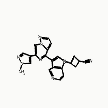 Cn1cc(-c2cn3nccc3c(-c3cn(C4CC(C#N)C4)c4ccncc34)n2)cn1